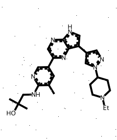 CCN1CCC(n2cc(-c3c[nH]c4ncc(-c5cnc(NCC(C)(C)O)c(C)c5)nc34)cn2)CC1